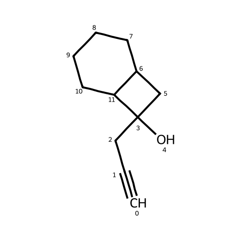 C#CCC1(O)CC2CCCCC21